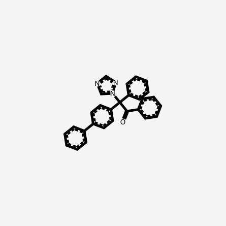 O=C(c1ccccc1)C(c1ccccc1)(c1ccc(-c2ccccc2)cc1)n1cncn1